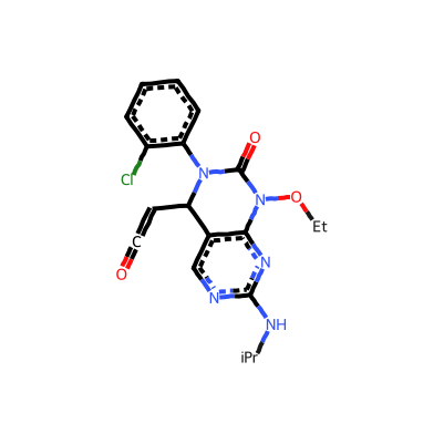 CCON1C(=O)N(c2ccccc2Cl)C(C=C=O)c2cnc(NC(C)C)nc21